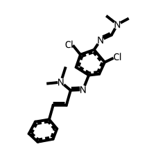 CN(C)C=Nc1c(Cl)cc(N=C(C=Cc2ccccc2)N(C)C)cc1Cl